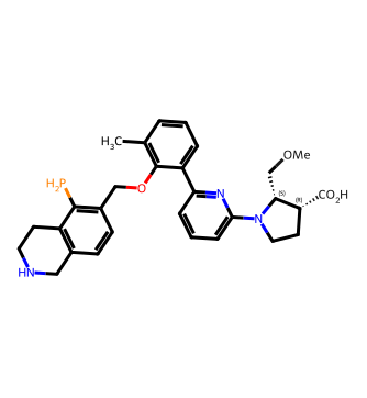 COC[C@@H]1[C@H](C(=O)O)CCN1c1cccc(-c2cccc(C)c2OCc2ccc3c(c2P)CCNC3)n1